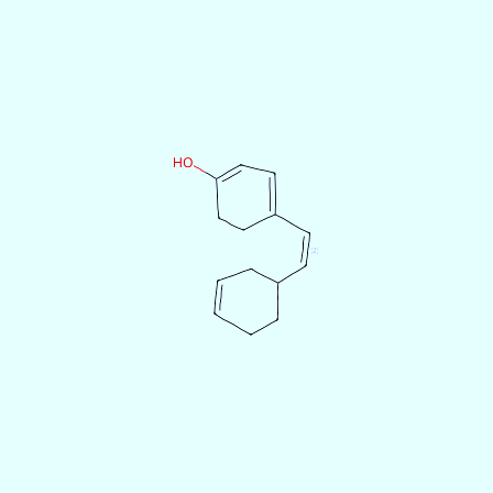 OC1=CC=C(/C=C\C2CC=CCC2)CC1